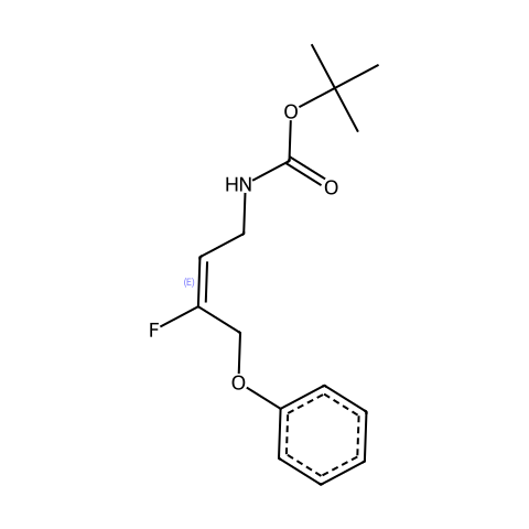 CC(C)(C)OC(=O)NC/C=C(/F)COc1ccccc1